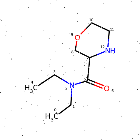 CCN(CC)C(=O)C1COCCN1